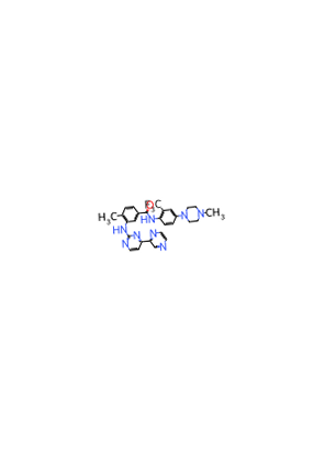 Cc1ccc(C(=O)Nc2ccc(N3CCN(C)CC3)cc2C(F)(F)F)cc1Nc1nccc(-c2cnccn2)n1